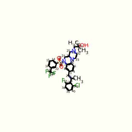 C/C(=C\c1ccc2c(c1)N(S(=O)(=O)c1cccc(C(F)(F)F)c1)CC1CN(CC(C)(C)O)CCN21)c1c(F)cccc1Cl